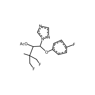 CC(=O)OC(C(Oc1ccc(F)cc1)n1cncn1)C(C)(CF)CF